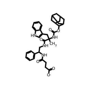 CC(Cc1c[nH]c2ccccc12)(NC(=O)OC1C2CC3CC(C2)CC1C3)C(=O)NCC(NC(=O)CCC([O])=O)c1ccccc1